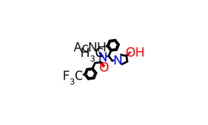 CC(=O)Nc1ccccc1C(CN1CCC(O)C1)N(C)C(=O)Cc1cccc(C(F)(F)F)c1